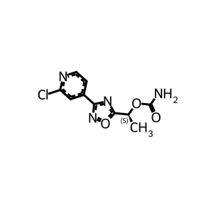 C[C@H](OC(N)=O)c1nc(-c2ccnc(Cl)c2)no1